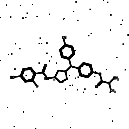 CN(C)C(=O)Oc1ccc(C(c2ccc(C#N)cc2)N2CC[C@@H](NC(=O)c3ccc(C#N)cc3F)C2)cc1